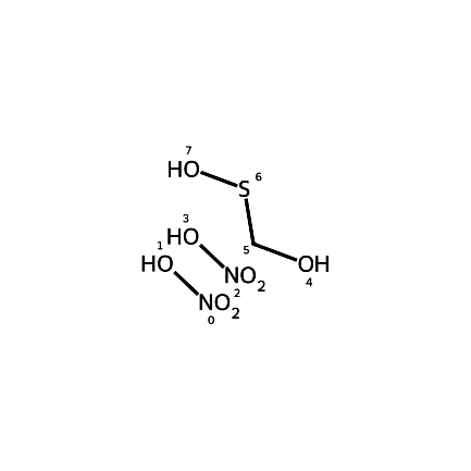 O=[N+]([O-])O.O=[N+]([O-])O.OCSO